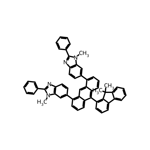 Cn1c(-c2ccccc2)nc2ccc(-c3cccc4c(-c5cccc6c5C(C)(C)c5ccccc5-6)c5cccc(-c6ccc7nc(-c8ccccc8)n(C)c7c6)c5cc34)cc21